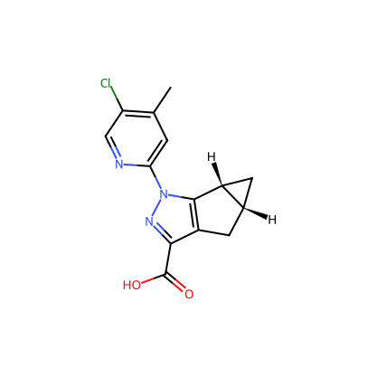 Cc1cc(-n2nc(C(=O)O)c3c2[C@@H]2C[C@@H]2C3)ncc1Cl